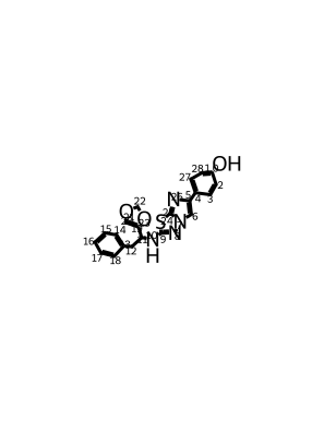 Oc1ccc(-c2cn3nc(NC(Cc4ccccc4)C4=COCO4)sc3n2)cc1